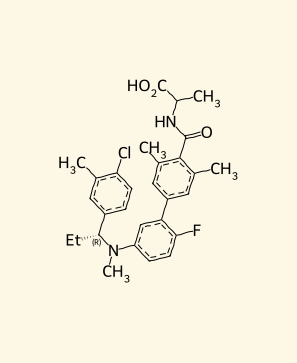 CC[C@H](c1ccc(Cl)c(C)c1)N(C)c1ccc(F)c(-c2cc(C)c(C(=O)NC(C)C(=O)O)c(C)c2)c1